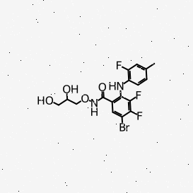 Cc1ccc(Nc2c(C(=O)NOCC(O)CO)cc(Br)c(F)c2F)c(F)c1